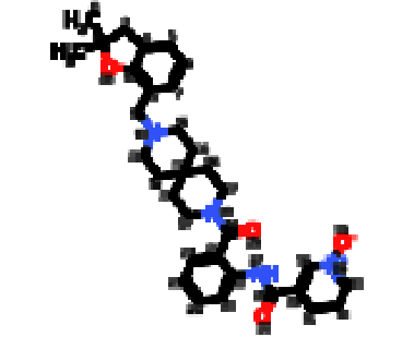 CC1(C)Cc2cccc(CN3CCC4(CC3)CCN(C(=O)c3ccccc3NC(=O)c3ccc[n+]([O-])c3)CC4)c2O1